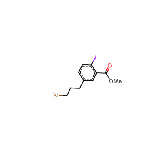 COC(=O)c1cc(CCCBr)ccc1I